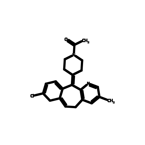 CC(=O)N1CCC(=C2C3=CC=C(Cl)CC3=CCc3cc(C)cnc32)CC1